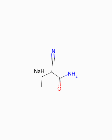 CCC(C#N)C(N)=O.[NaH]